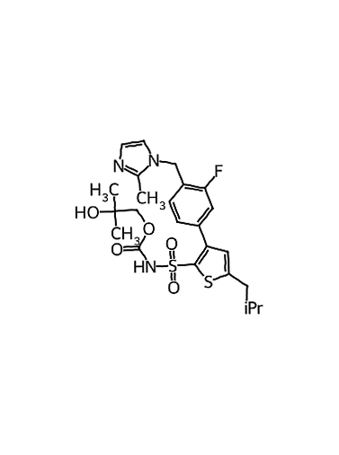 Cc1nccn1Cc1ccc(-c2cc(CC(C)C)sc2S(=O)(=O)NC(=O)OCC(C)(C)O)cc1F